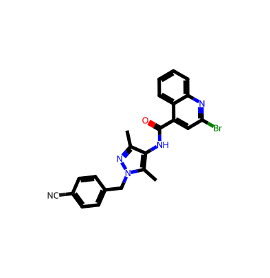 Cc1nn(Cc2ccc(C#N)cc2)c(C)c1NC(=O)c1cc(Br)nc2ccccc12